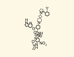 O=C(NS(=O)(=O)c1cc([N+](=O)[O-])c2c(n1)OC[C@H](C1CC1)N2)c1ccc(N2CCC3(CC2)CC(N2CCC[C@H]2c2ccccc2C2CC2)C3)cc1Oc1cnc2[nH]ccc2c1